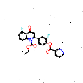 CCOC(=O)n1c(-c2ccc(OC(=O)c3cccnc3)c(F)c2)cc(=O)c2c(F)cccc21